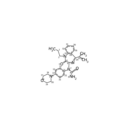 CCCN1C(=O)C(N(C(N)=O)c2ccc(N3CCOCC3)cc2)N=C(C(C)C)c2ccccc21